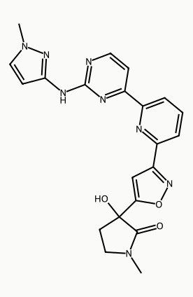 CN1CCC(O)(c2cc(-c3cccc(-c4ccnc(Nc5ccn(C)n5)n4)n3)no2)C1=O